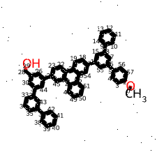 COc1ccc(-c2cc(-c3ccccc3)cc(-c3ccc4c5ccc(-c6cc(CO)cc(-c7cccc(-c8ccccc8)c7)c6)cc5c5ccccc5c4c3)c2)cc1